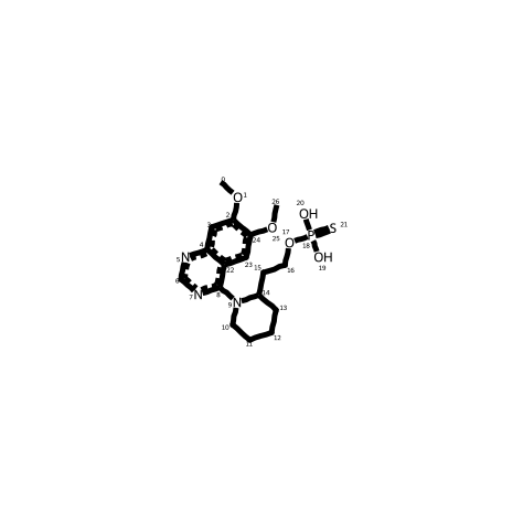 COc1cc2ncnc(N3CCCCC3CCOP(O)(O)=S)c2cc1OC